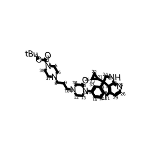 CC(C)(C)OC(=O)N1CCN(CCCN2CCN(c3cccc(C4(C5CC5)CNc5nccc(Cl)c54)c3)C(=O)C2)CC1